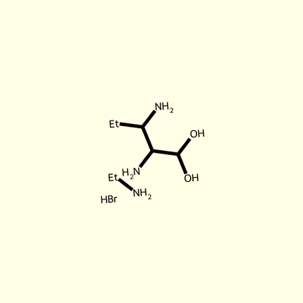 Br.CCC(N)C(N)C(O)O.CCN